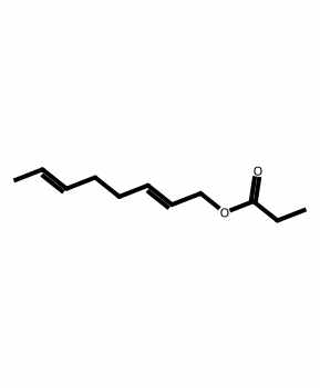 CC=CCCC=CCOC(=O)CC